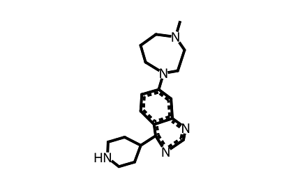 CN1CCCN(c2ccc3c(C4CCNCC4)ncnc3c2)CC1